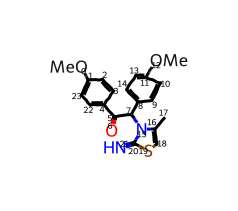 COc1ccc(C(=O)C(c2ccc(OC)cc2)n2c(C)csc2=N)cc1